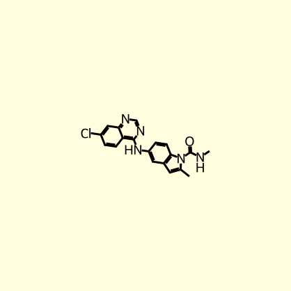 CNC(=O)n1c(C)cc2cc(Nc3ncnc4cc(Cl)ccc34)ccc21